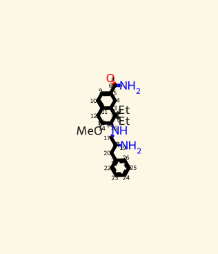 CCC1(CC)C2CC(C(N)=O)=CC=C2C[C@@H](OC)[C@@H]1NC[C@@H](N)Cc1ccccc1